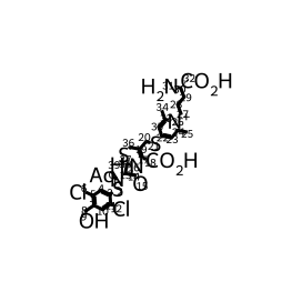 CC(=O)N(Sc1cc(Cl)c(CO)cc1Cl)[C@H]1C(=O)N2C(C(=O)O)=C(CSc3cc(C)[n+](CCC[C@H](N)C(=O)O)c(C)c3)CS[C@H]12